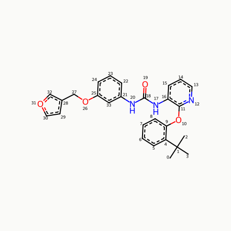 CC(C)(C)c1ccccc1Oc1ncccc1NC(=O)Nc1cccc(OCc2ccoc2)c1